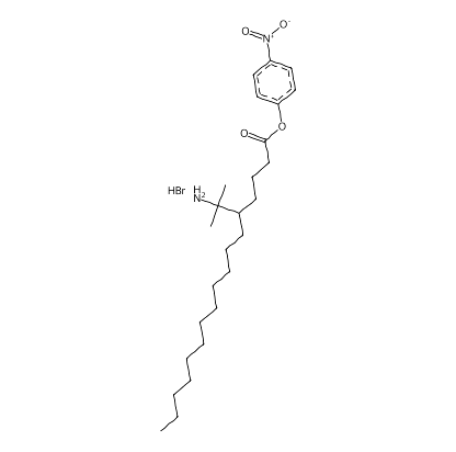 Br.CCCCCCCCCCCCC(CCCC(=O)Oc1ccc([N+](=O)[O-])cc1)C(C)(C)N